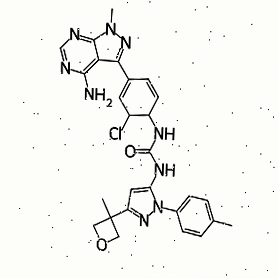 Cc1ccc(-n2nc(C3(C)COC3)cc2NC(=O)NC2C=CC(c3nn(C)c4ncnc(N)c34)=CC2Cl)cc1